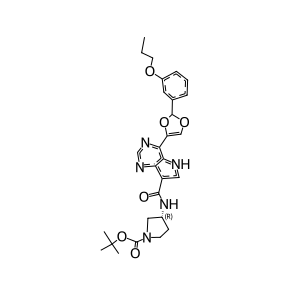 CCCOc1cccc(C2OC=C(c3ncnc4c(C(=O)N[C@@H]5CCN(C(=O)OC(C)(C)C)C5)c[nH]c34)O2)c1